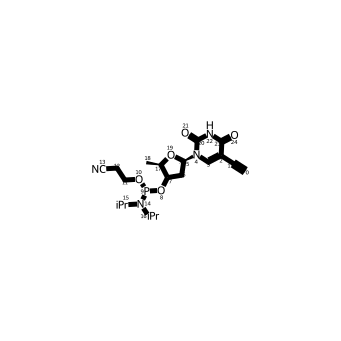 C#Cc1cn([C@H]2CC(OP(OCCC#N)N(C(C)C)C(C)C)[C@@H](C)O2)c(=O)[nH]c1=O